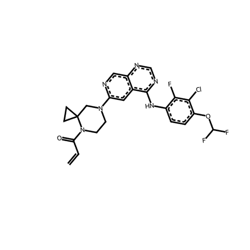 C=CC(=O)N1CCN(c2cc3c(Nc4ccc(OC(F)F)c(Cl)c4F)ncnc3cn2)CC12CC2